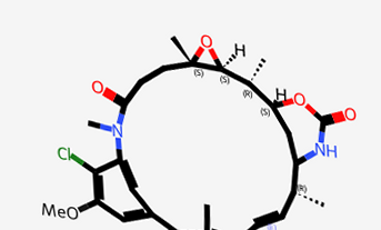 COc1cc2cc(c1Cl)N(C)C(=O)CC[C@]1(C)O[C@H]1[C@H](C)[C@@H]1CC(NC(=O)O1)[C@H](C)/C=C/C=C(\C)C2